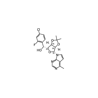 Cc1ncnc2c1ccn2[C@@H]1O[C@H](C(O)c2ccc(Cl)cc2F)[C@H]2OC(C)(C)O[C@H]21